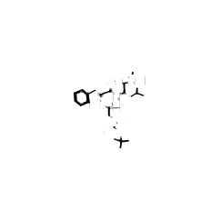 CNC(=O)[C@H](CC(C)C)NC(=O)[C@H](Cc1ccccc1)NC(=O)CNC(=O)OC(C)(C)C